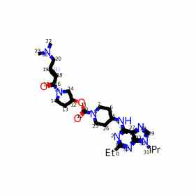 CCc1nc(NC2CCN(C(=O)OC3CCN(C(=O)/C=C/CN(C)C)C3)CC2)c2ncn(C(C)C)c2n1